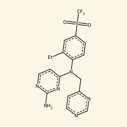 CCc1cc(S(=O)(=O)C(F)(F)F)ccc1N(Cc1ccncn1)c1ccnc(N)n1